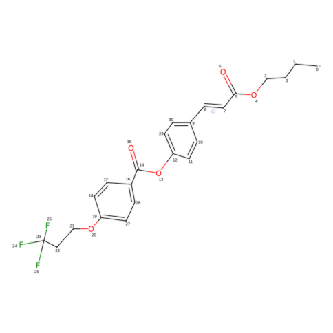 [CH2]CCCOC(=O)/C=C/c1ccc(OC(=O)c2ccc(OCCC(F)(F)F)cc2)cc1